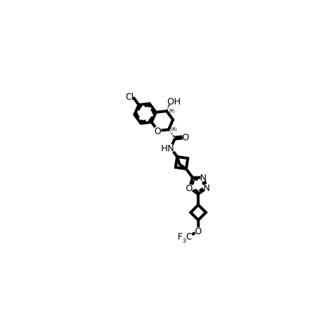 O=C(NC12CC(c3nnc(C4CC(OC(F)(F)F)C4)o3)(C1)C2)[C@H]1C[C@@H](O)c2cc(Cl)ccc2O1